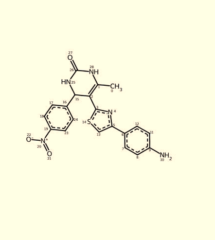 CC1=C(c2nc(-c3ccc(N)cc3)cs2)C(c2ccc([N+](=O)[O-])cc2)NC(=O)N1